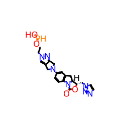 O=C1O[C@@H](Cn2ccnn2)[C@@H]2Cc3cc(N4Cc5cn(CCOPO)nc5C4)ccc3N12